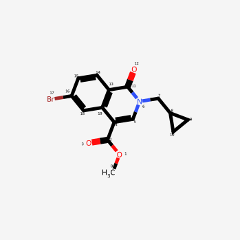 COC(=O)c1cn(CC2CC2)c(=O)c2ccc(Br)cc12